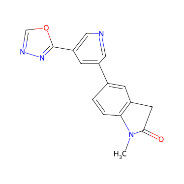 CN1C(=O)Cc2cc(-c3cncc(-c4nnco4)c3)ccc21